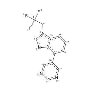 FC(F)(F)Cn1cnc2c(-c3cncnc3)cccc21